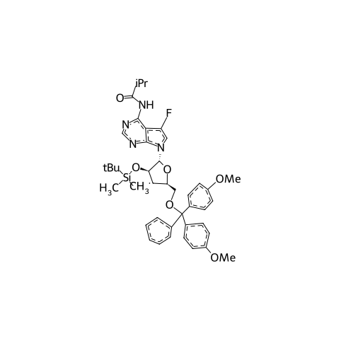 COc1ccc(C(OC[C@H]2[CH][C@@H](O[Si](C)(C)C(C)(C)C)[C@H](n3cc(F)c4c(NC(=O)C(C)C)ncnc43)O2)(c2ccccc2)c2ccc(OC)cc2)cc1